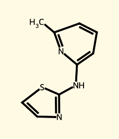 Cc1cccc(Nc2nccs2)n1